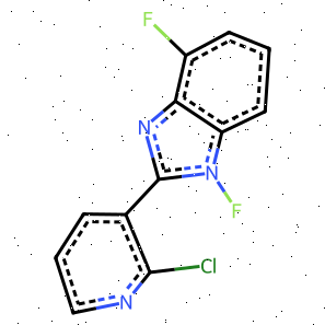 Fc1cccc2c1nc(-c1cccnc1Cl)n2F